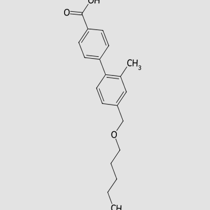 CCCCCOCc1ccc(-c2ccc(C(=O)O)cc2)c(C)c1